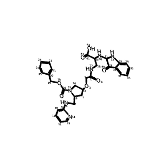 O=C(COC1CC(CNc2ccccn2)N(C(=O)OCc2ccccc2)C1)NCC(NC1Nc2ccccc2C1=O)C(=O)O